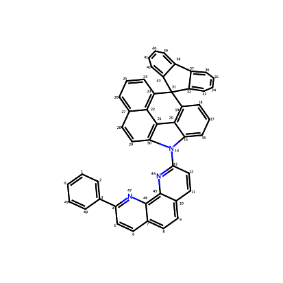 c1ccc(-c2ccc3ccc4ccc(-n5c6cccc7c6c6c8c(cccc8ccc65)C75c6ccccc6-c6ccccc65)nc4c3n2)cc1